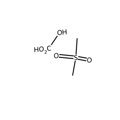 CS(C)(=O)=O.O=C(O)O